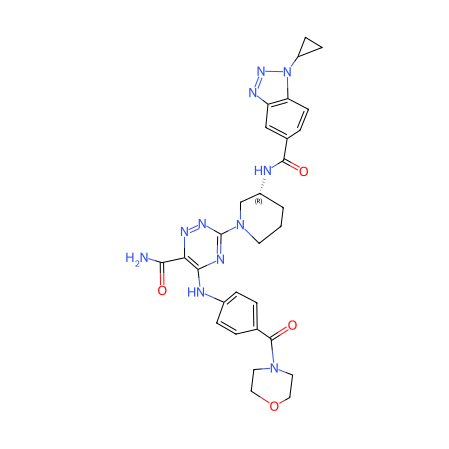 NC(=O)c1nnc(N2CCC[C@@H](NC(=O)c3ccc4c(c3)nnn4C3CC3)C2)nc1Nc1ccc(C(=O)N2CCOCC2)cc1